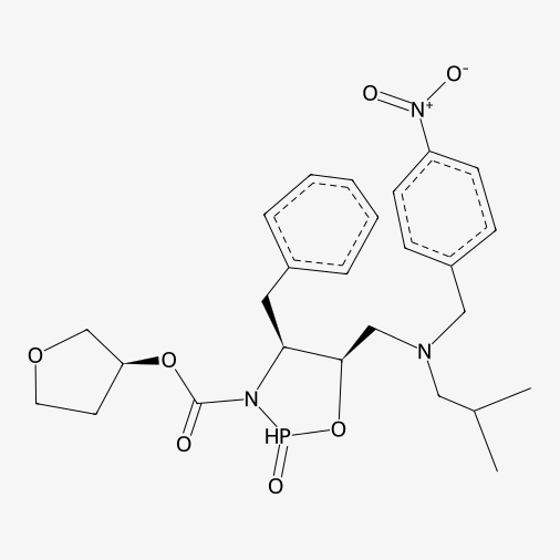 CC(C)CN(Cc1ccc([N+](=O)[O-])cc1)C[C@H]1O[PH](=O)N(C(=O)O[C@H]2CCOC2)[C@H]1Cc1ccccc1